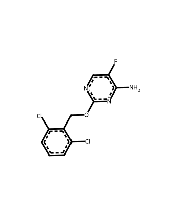 Nc1nc(OCc2c(Cl)cccc2Cl)ncc1F